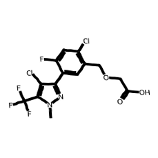 Cn1nc(-c2cc(COCC(=O)O)c(Cl)cc2F)c(Cl)c1C(F)(F)F